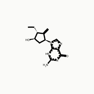 C=C1[C@@H](CC)[C@H](O)C[C@@H]1n1cnc2c(=O)nc(N)[nH]c21